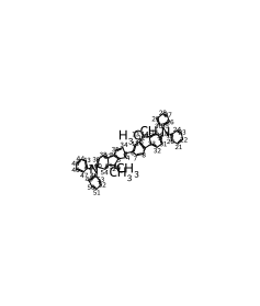 CC1(C)c2cc(-c3ccc4c(c3)C(C)(C)c3cc(N(c5ccccc5)c5ccccc5)ccc3-4)ccc2-c2ccc(N(c3ccccc3)c3ccccc3)cc21